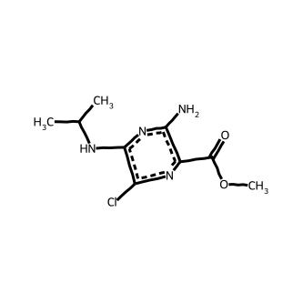 COC(=O)c1nc(Cl)c(NC(C)C)nc1N